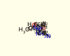 Cc1ccc(C(=O)N(CCCN)C(c2nc(C)c(-c3ccc(C#N)cc3)c(=O)n2Cc2ccccc2)C(C)C)cc1